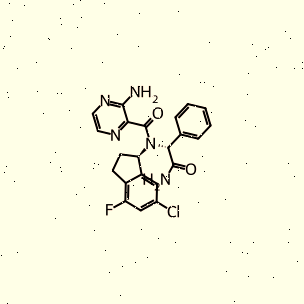 NC(=O)[C@@H](c1ccccc1)N(C(=O)c1nccnc1N)[C@@H]1CCc2c(F)cc(Cl)cc21